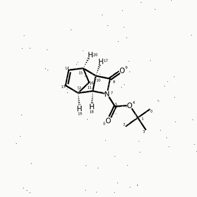 CC(C)(C)OC(=O)N1C(=O)[C@H]2[C@@H]1[C@H]1C=C[C@@H]2C1